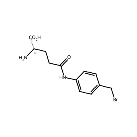 N[C@@H](CCC(=O)Nc1ccc(CBr)cc1)C(=O)O